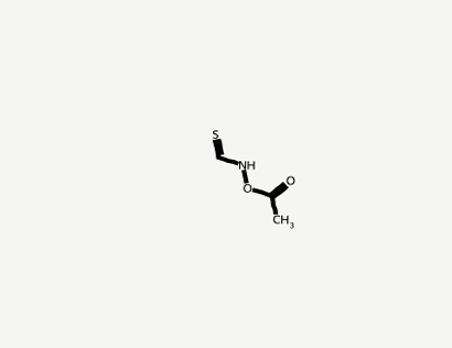 CC(=O)ONC=S